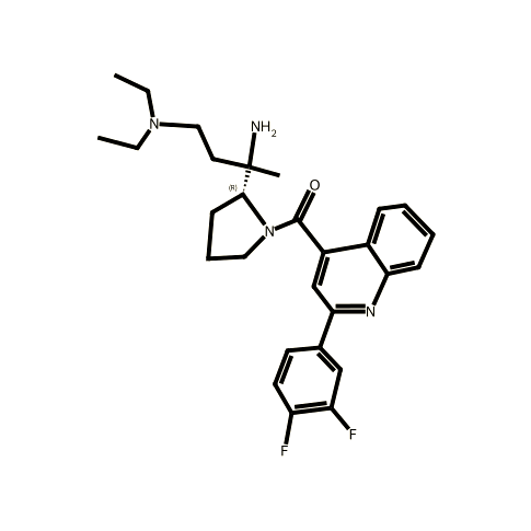 CCN(CC)CCC(C)(N)[C@H]1CCCN1C(=O)c1cc(-c2ccc(F)c(F)c2)nc2ccccc12